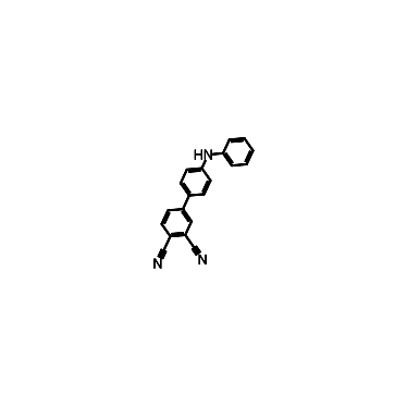 N#Cc1ccc(-c2ccc(Nc3ccccc3)cc2)cc1C#N